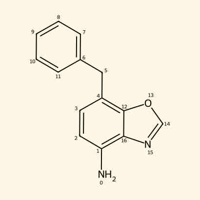 Nc1ccc(Cc2ccccc2)c2ocnc12